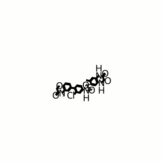 Cc1cc2[nH]c(=O)c(=O)[nH]c2cc1S(=O)(=O)Nc1ccc(-c2ccc3c(c2)N(C)C(=O)CO3)c(Cl)c1